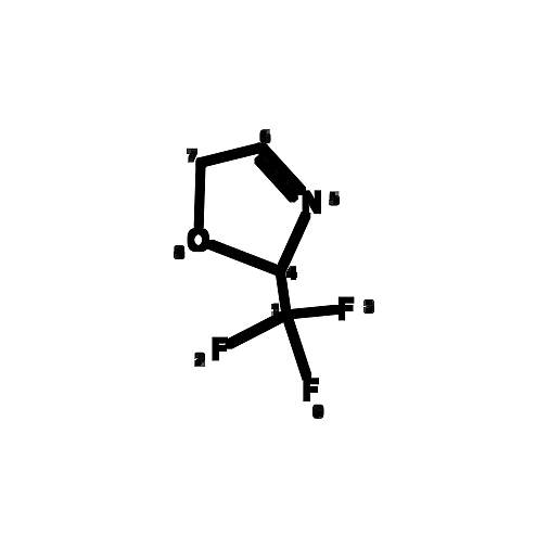 FC(F)(F)C1N=[C]CO1